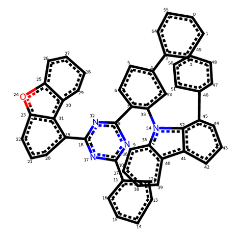 c1ccc(-c2ccc(-c3nc(-c4ccccc4)nc(-c4cccc5oc6ccccc6c45)n3)c(-n3c4ccccc4c4cccc(-c5ccccc5)c43)c2)cc1